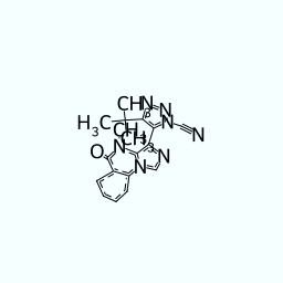 Cn1c(=O)c2ccccc2n2cnc(-c3c(C(C)(C)C)nnn3C#N)c12